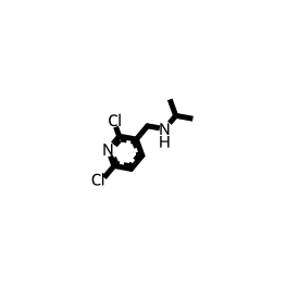 CC(C)NCc1ccc(Cl)nc1Cl